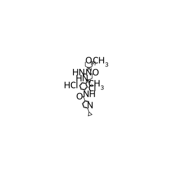 C[C@@H]1C[C@H](N2C(=N)N[C@](C)(c3cccc(NC(=O)c4ccc(C5CC5)nc4)c3Cl)CC2=O)CCO1.Cl